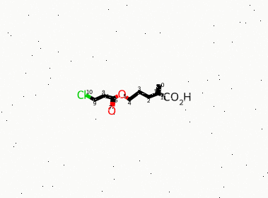 C=C(CCCOC(=O)CCCl)C(=O)O